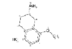 COc1cccc2c1C[C@@H]([AsH2])CC2.Cl